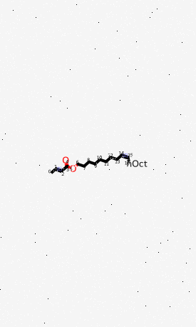 C/C=C/C(=O)OCCCCCCCC/C=C\CCCCCCCC